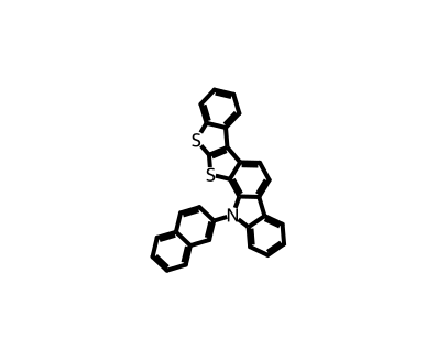 c1ccc2cc(-n3c4ccccc4c4ccc5c(sc6sc7ccccc7c65)c43)ccc2c1